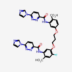 O=C(Nc1cc(OCCCOc2cc(NC(=O)c3ccc(-n4ccnc4)nn3)c(C(=O)O)cc2F)ccc1C(=O)O)c1ccc(-n2ccnc2)nn1